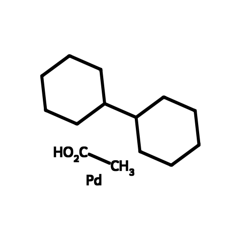 C1CCC(C2CCCCC2)CC1.CC(=O)O.[Pd]